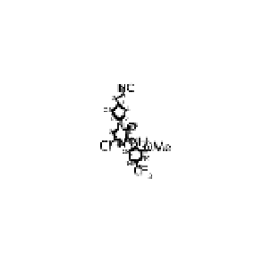 [C-]#[N+]CCc1ccc(-n2cc(Cl)nc(Nc3ccc(C(F)(F)F)cc3OC)c2=O)cc1